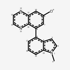 Cn1ccc2c(-c3cc(Cl)cc4nccnc34)cccc21